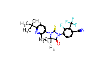 Cc1nc(C(C)(C)C)ccc1N1C(=S)N(c2ccc(C#N)c(C(F)(F)F)c2F)C(=O)C1(C)C